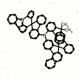 CC1(C)c2ccccc2-c2c(N(c3ccc4c(c3)C3(c5ccccc5-c5ccccc53)c3ccc5ccccc5c3-4)c3cccc4c3-c3ccccc3C43c4ccccc4-n4c5ccccc5c5cccc3c54)cccc21